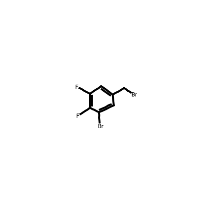 Fc1cc(CBr)cc(Br)c1F